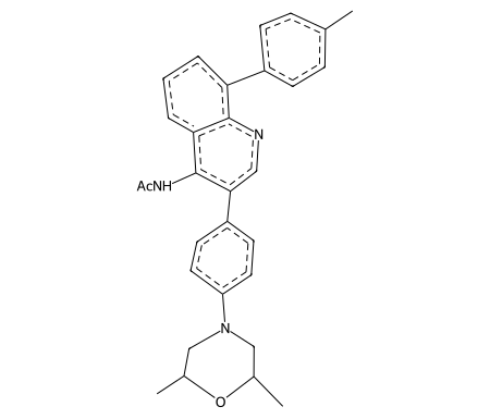 CC(=O)Nc1c(-c2ccc(N3CC(C)OC(C)C3)cc2)cnc2c(-c3ccc(C)cc3)cccc12